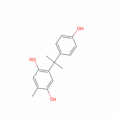 Cc1cc(O)c(C(C)(C)c2ccc(O)cc2)cc1O